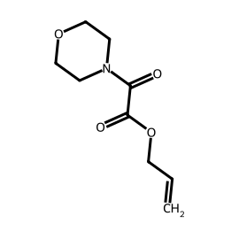 C=CCOC(=O)C(=O)N1CCOCC1